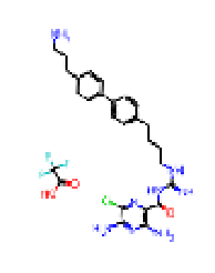 N=C(NCCCCc1ccc(-c2ccc(CCCN)cc2)cc1)NC(=O)c1nc(Cl)c(N)nc1N.O=C(O)C(F)(F)F